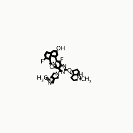 C#Cc1c(F)ccc2cc(O)cc(-c3ncc4c(N5Cc6cnn(C)c6C5)nc(OC[C@]56CCC[C@H]5N(C)CCC6)nc4c3F)c12